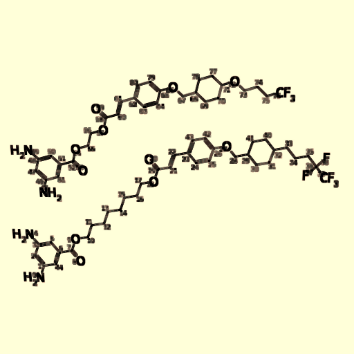 Nc1cc(N)cc(C(=O)OCCCCCCCCOC(=O)C=Cc2ccc(OCC3CCC(CCCC(F)(F)C(F)(F)F)CC3)cc2)c1.Nc1cc(N)cc(C(=O)OCCOC(=O)C=Cc2ccc(OCC3CCC(OCCCC(F)(F)F)CC3)cc2)c1